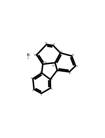 [B].c1ccc2c(c1)-c1cccc3cccc-2c13